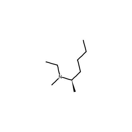 CCCC[C@@H](C)N(C)CC